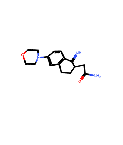 N=C1c2ccc(N3CCOCC3)cc2CCC1CC(N)=O